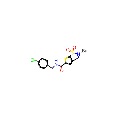 CC(C)(C)N1Cc2cc(C(=O)NCc3ccc(Cl)cc3)sc2S1(=O)=O